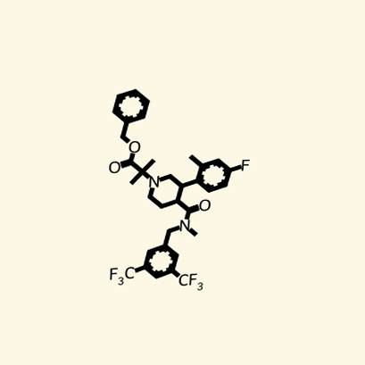 Cc1cc(F)ccc1C1CN(C(C)(C)C(=O)OCc2ccccc2)CCC1C(=O)N(C)Cc1cc(C(F)(F)F)cc(C(F)(F)F)c1